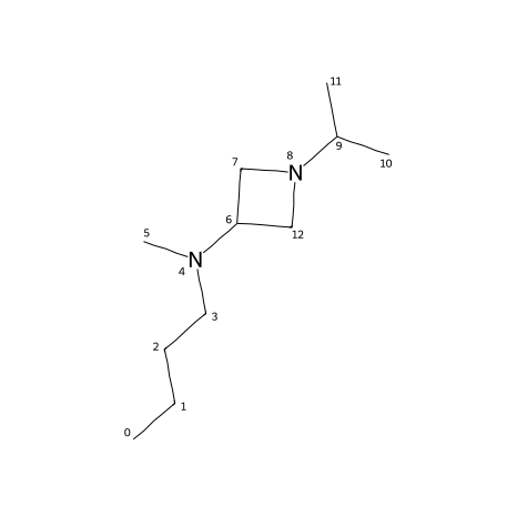 CCCCN(C)C1CN(C(C)C)C1